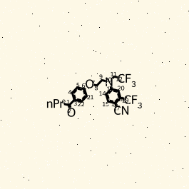 CCCC(=O)c1ccc(OCCN(CC(F)(F)F)c2ccc(C#N)c(C(F)(F)F)c2)cc1